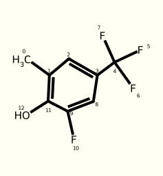 Cc1cc(C(F)(F)F)cc(F)c1O